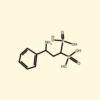 NC(CC(P(=O)(O)O)P(=O)(O)O)c1ccccc1